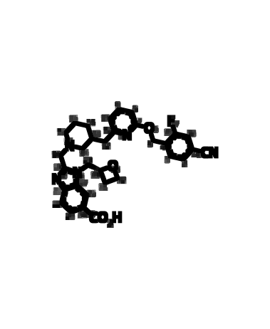 N#Cc1ccc(COc2cccc(CC3CCCN(Cc4nc5ccc(C(=O)O)cc5n4C[C@@H]4CCO4)C3)n2)c(F)c1